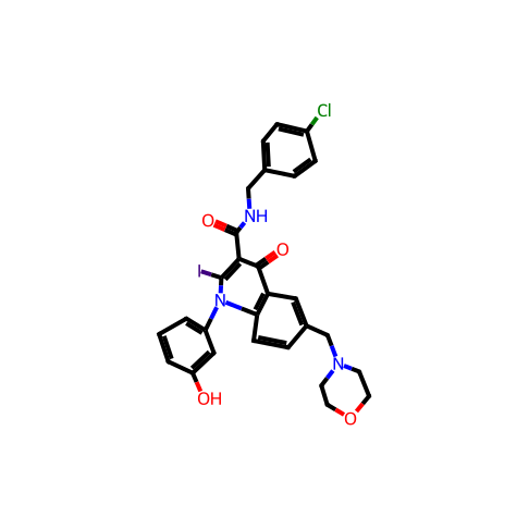 O=C(NCc1ccc(Cl)cc1)c1c(I)n(-c2cccc(O)c2)c2ccc(CN3CCOCC3)cc2c1=O